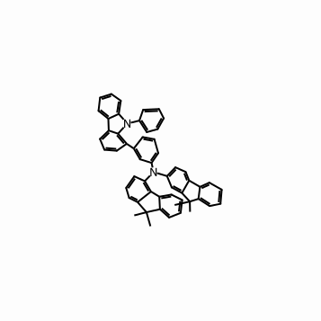 CC1(C)c2ccccc2-c2ccc(N(c3cccc(-c4cccc5c6ccccc6n(-c6ccccc6)c45)c3)c3cccc4c3-c3ccccc3C4(C)C)cc21